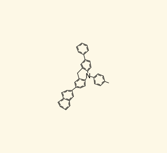 Cc1ccc(N2c3ccc(-c4ccccc4)cc3Cc3cc(-c4ccc5ccccc5c4)ccc32)cc1